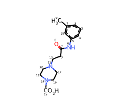 Cc1cccc(NC(=O)CCN2CCN(C(=O)O)CC2)c1